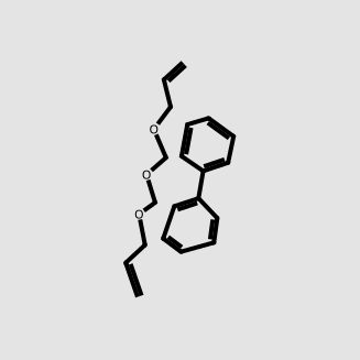 C=CCOCOCOCC=C.c1ccc(-c2ccccc2)cc1